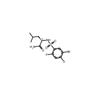 CC(C)C[C@@H](NS(=O)(=O)c1cc(Br)c(F)cc1F)C(N)=O